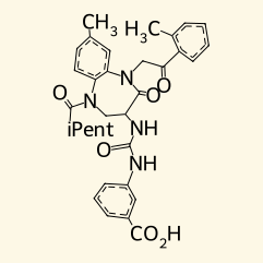 CCCC(C)C(=O)N1CC(NC(=O)Nc2cccc(C(=O)O)c2)C(=O)N(CC(=O)c2ccccc2C)c2cc(C)ccc21